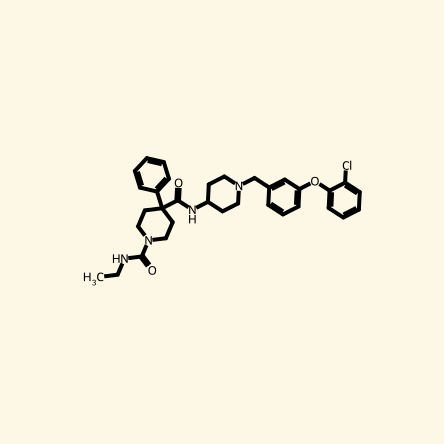 CCNC(=O)N1CCC(C(=O)NC2CCN(Cc3cccc(Oc4ccccc4Cl)c3)CC2)(c2ccccc2)CC1